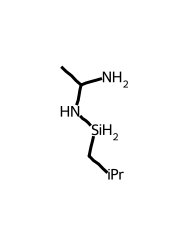 CC(C)C[SiH2]NC(C)N